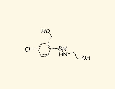 OCCNBc1ccc(Cl)cc1CO